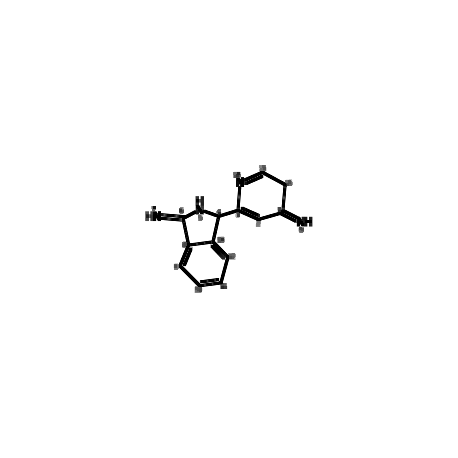 N=C1C=C(C2NC(=N)c3ccccc32)N=CC1